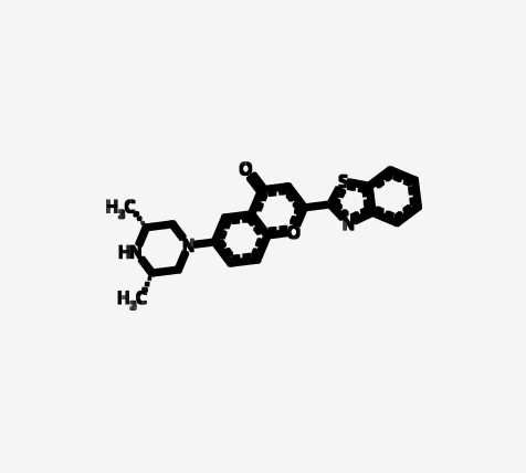 C[C@@H]1CN(c2ccc3oc(-c4nc5ccccc5s4)cc(=O)c3c2)C[C@H](C)N1